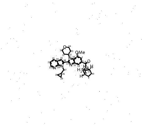 COc1cc(C(=O)N2C[C@H]3CC[C@@H]2[C@@H]3N)cc2nc(-c3cc4cccnc4n3CC3CC3)n(C3CCOCC3)c12